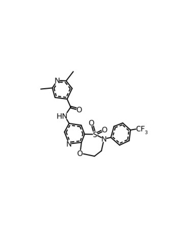 Cc1cc(C(=O)Nc2cnc3c(c2)S(=O)(=O)N(c2ccc(C(F)(F)F)cc2)CCO3)cc(C)n1